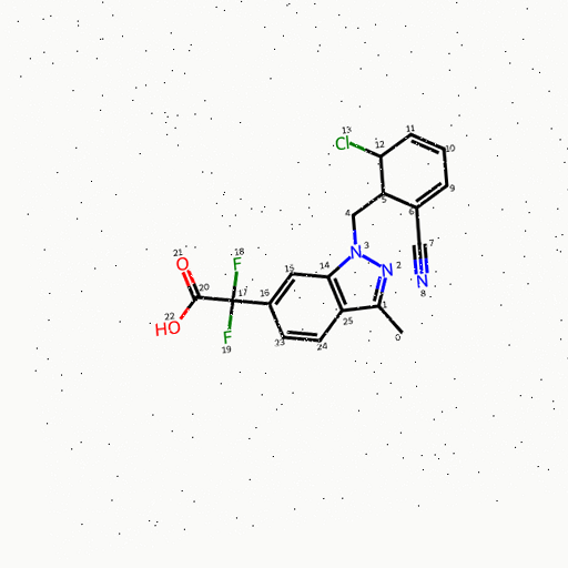 Cc1nn(CC2C(C#N)=CC=CC2Cl)c2cc(C(F)(F)C(=O)O)ccc12